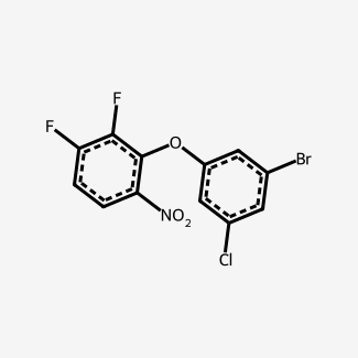 O=[N+]([O-])c1ccc(F)c(F)c1Oc1cc(Cl)cc(Br)c1